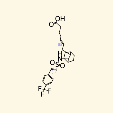 O=C(O)CCC/C=C/CC1C2CCC(CC2)C1NS(=O)(=O)/C=C/c1ccc(C(F)(F)F)cc1